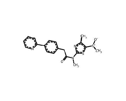 Cc1nc(N(C)C(=O)Cc2ccc(-c3ccccn3)cc2)sc1[S+](C)[O-]